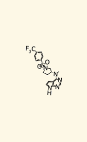 CN(c1ncnc2[nH]ccc12)[C@@H]1CCN(S(=O)(=O)c2ccc(C(F)(F)F)cc2)C1